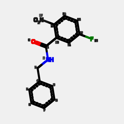 O=C(NCc1ccccc1)c1cc(F)ccc1[N+](=O)[O-]